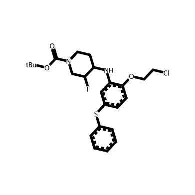 CC(C)(C)OC(=O)N1CCC(Nc2cc(Sc3ccccc3)ccc2OCCCl)C(F)C1